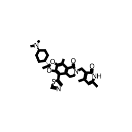 Cc1cc(C)c(CN2CCc3c(c(C)c4c(c3-c3cncs3)OC(C)([C@H]3CC[C@H](N(C)C)CC3)O4)C2=O)c(=O)[nH]1